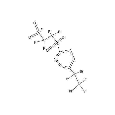 O=S(=O)(F)C(F)(F)C(F)(F)S(=O)(=O)c1ccc(C(F)(Br)C(F)(F)Br)cc1